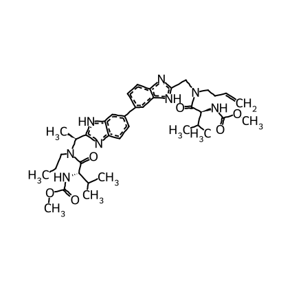 C=CCCN(Cc1nc2ccc(-c3ccc4nc([C@H](C)N(CCC)C(=O)[C@@H](NC(=O)OC)C(C)C)[nH]c4c3)cc2[nH]1)C(=O)[C@@H](NC(=O)OC)C(C)C